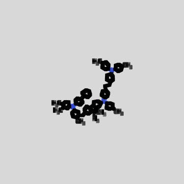 Cc1ccc(N(c2ccc(C)cc2)c2ccc(CCc3ccc(N(c4ccc(C)cc4)c4ccc5c(c4)C(C)(C)c4cc(Cc6cc(N(c7ccc(-c8ccccc8)cc7)c7ccc(C)c(C)c7)ccc6C)ccc4-5)cc3)cc2)cc1